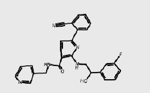 N#Cc1ccccc1-c1ccc(C(=O)NCc2cccnc2)c(NCC(O)c2cccc(F)c2)n1